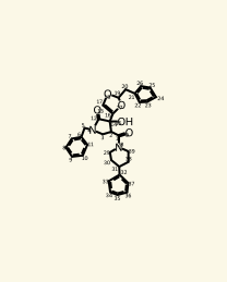 O=C(C1CN(Cc2ccccc2)C(=O)C1(O)C1=COC(Cc2ccccc2)O1)N1CCC(c2ccccc2)CC1